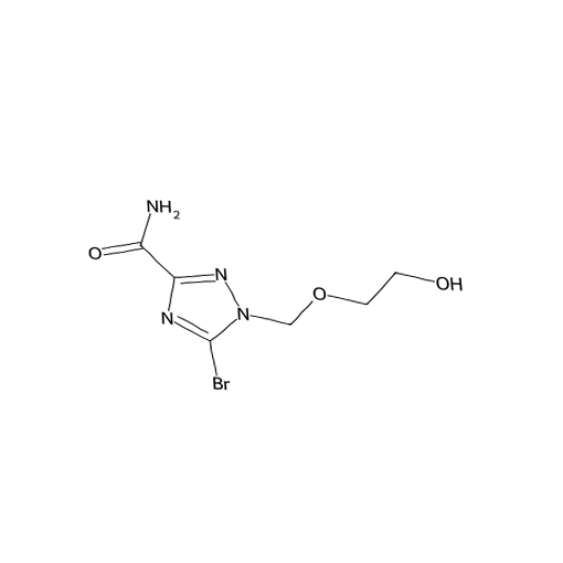 NC(=O)c1nc(Br)n(COCCO)n1